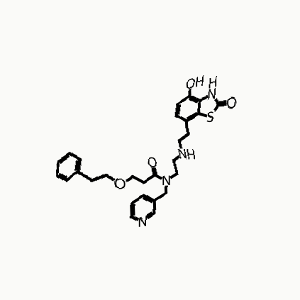 O=C(CCOCCc1ccccc1)N(CCNCCc1ccc(O)c2[nH]c(=O)sc12)Cc1cccnc1